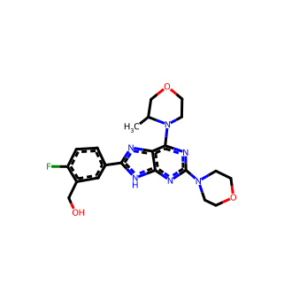 CC1COCCN1c1nc(N2CCOCC2)nc2[nH]c(-c3ccc(F)c(CO)c3)nc12